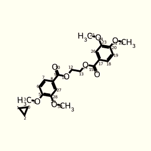 C1CC1.COc1ccc(C(=O)OCCOC(=O)c2ccc(OC)c(OC)c2)cc1OC